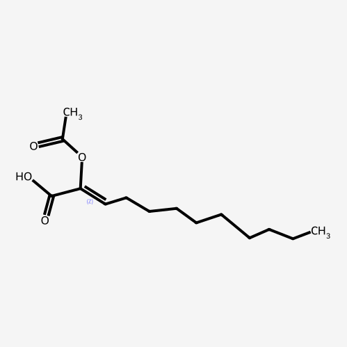 CCCCCCCCC/C=C(\OC(C)=O)C(=O)O